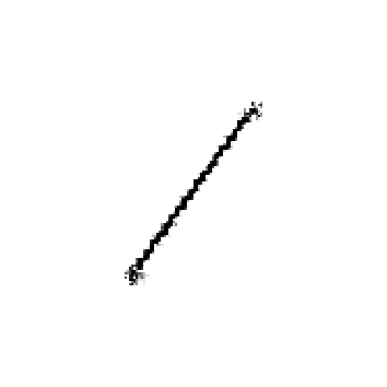 O=P(O)(O)OCCCCCCCCCCCCCCCCCCCCCCCCCCCCCCCCCCCNC(=S)S